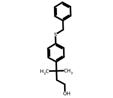 CC(C)(CCO)c1ccc(SCc2ccccc2)cc1